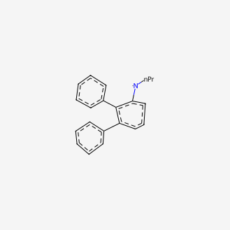 CCC[N]c1cccc(-c2ccccc2)c1-c1ccccc1